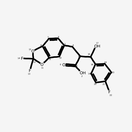 O=C(O)C(Cc1ccc2c(c1)OC(F)(F)O2)C(O)c1ccc(F)cc1